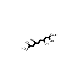 O=C(O)C(O)CC(O)CCC(O)CC(O)C(=O)O